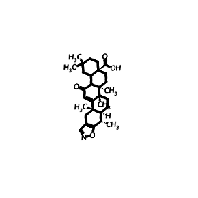 C[C@@H]1c2oncc2C[C@]2(C)C3=CC(=O)C4C5CC(C)(C)CC[C@]5(C(=O)O)CC[C@@]4(C)[C@]3(C)CC[C@@H]12